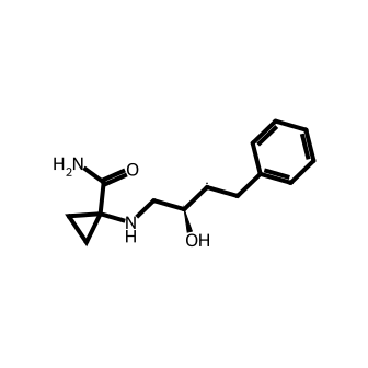 NC(=O)C1(NC[C@H](O)[CH]Cc2ccccc2)CC1